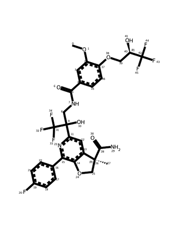 COc1cc(C(=O)NCC(O)(c2cc3c(c(-c4ccc(F)cc4)n2)OC[C@]3(C)C(N)=O)C(F)(F)F)ccc1OC[C@@H](O)C(F)(F)F